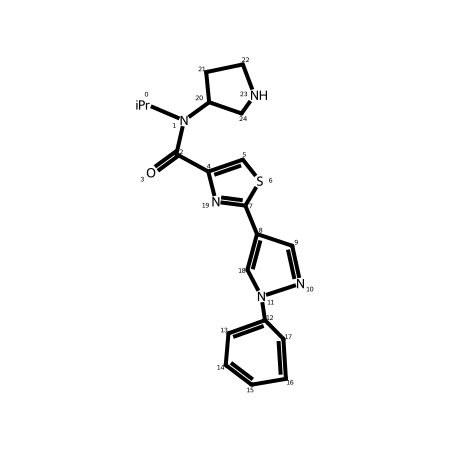 CC(C)N(C(=O)c1csc(-c2cnn(-c3ccccc3)c2)n1)C1CCNC1